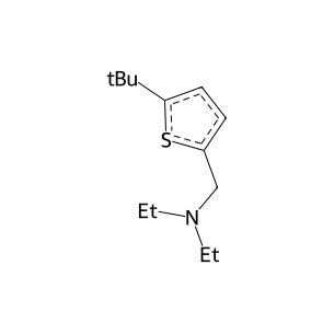 CCN(CC)Cc1ccc(C(C)(C)C)s1